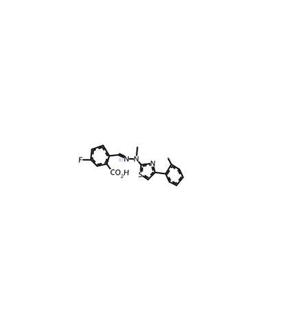 Cc1ccccc1-c1csc(N(C)/N=C/c2ccc(F)cc2C(=O)O)n1